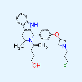 C=C(CCCO)N1[C@@H](c2ccc(OC3CN(CCCF)C3)cc2)c2[nH]c3ccccc3c2C[C@@H]1C